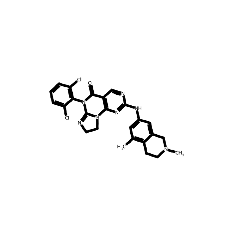 Cc1cc(Nc2ncc3c(n2)N2CCN=C2N(c2c(Cl)cccc2Cl)C3=O)cc2c1CCN(C)C2